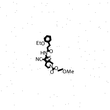 CCOc1ccccc1CCC(=O)Nc1sc2c(c1C#N)CCN(C(=O)OCCOC)C2